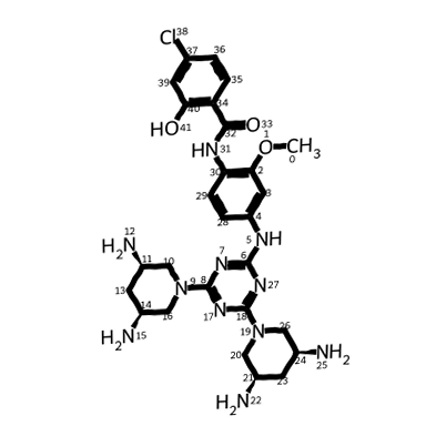 COc1cc(Nc2nc(N3C[C@H](N)C[C@H](N)C3)nc(N3C[C@H](N)C[C@H](N)C3)n2)ccc1NC(=O)c1ccc(Cl)cc1O